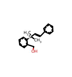 C[Si](C)(C=Cc1ccccc1)c1ccccc1CO